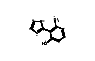 Nc1cccc(O)c1-c1nccs1